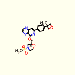 CC1(c2ccc(-c3cc4nccnc4c(OC[C@@H]4CN(S(C)(=O)=O)CCO4)n3)cc2)COC1